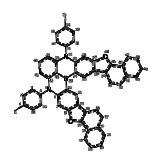 Cc1ccc(N2c3cc4oc5c6ccccc6ccc5c4cc3B3c4cc5c(cc4N(c4ccc(C)cc4)c4cccc2c43)oc2c3ccccc3ccc52)cc1